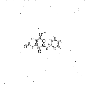 COC(=O)[C@@H](C)N(CC=O)C(=O)OCc1ccccc1